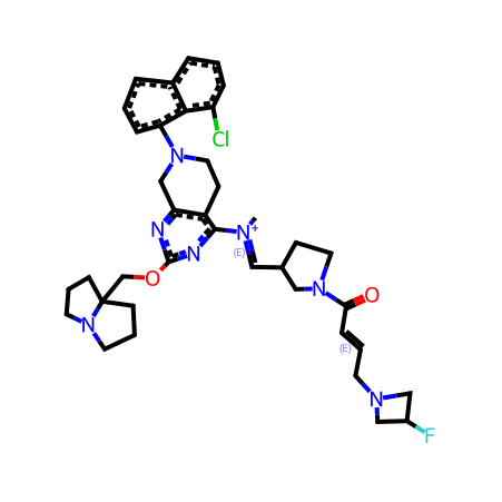 C/[N+](=C\C1CCN(C(=O)/C=C/CN2CC(F)C2)C1)c1nc(OCC23CCCN2CCC3)nc2c1CCN(c1cccc3cccc(Cl)c13)C2